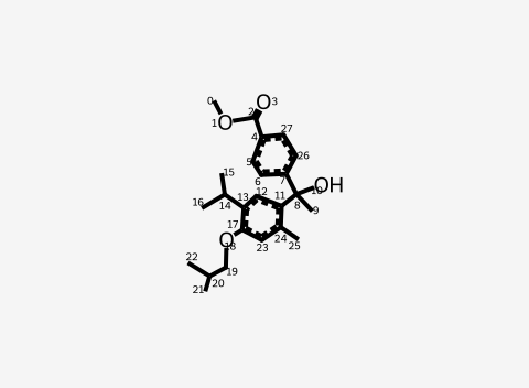 COC(=O)c1ccc(C(C)(O)c2cc(C(C)C)c(OCC(C)C)cc2C)cc1